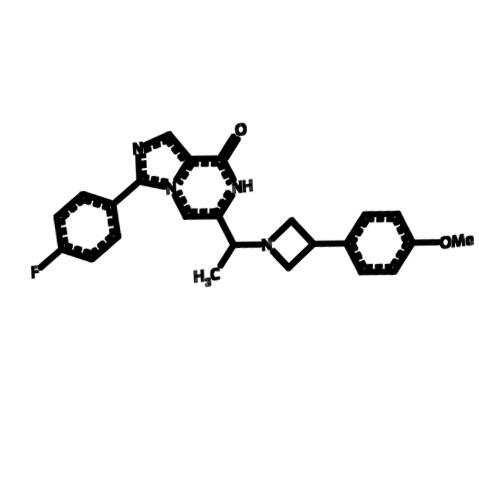 COc1ccc(C2CN(C(C)c3cn4c(-c5ccc(F)cc5)ncc4c(=O)[nH]3)C2)cc1